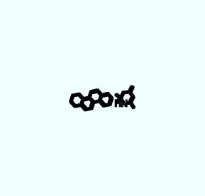 C=C1C=C(C)NC(C)(C)C1.c1ccc2c(c1)ccc1c3c(ccc12)CCCC3